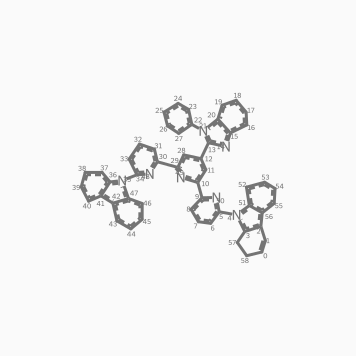 C1=Cc2c(n(-c3cccc(-c4cc(-c5nc6ccccc6n5-c5ccccc5)cc(-c5cccc(-n6c7ccccc7c7ccccc76)n5)n4)n3)c3ccccc23)CC1